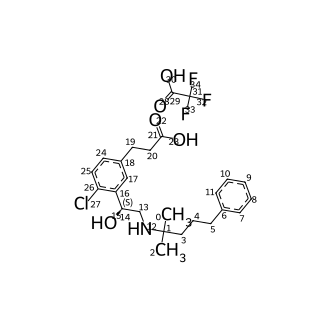 CC(C)(CCCc1ccccc1)NC[C@@H](O)c1cc(CCC(=O)O)ccc1Cl.O=C(O)C(F)(F)F